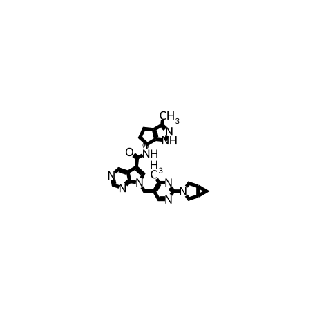 Cc1nc(N2CC3CC3C2)ncc1Cn1cc(C(=O)N[C@@H]2CCc3c(C)n[nH]c32)c2cncnc21